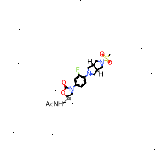 CC(=O)NC[C@H]1CN(c2ccc(N3C[C@@H]4CN(S(C)(=O)=O)C[C@@H]4C3)c(F)c2)C(=O)O1